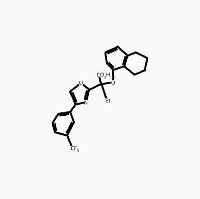 CCC(Oc1cccc2c1CCCC2)(C(=O)O)c1nc(-c2cccc(C(F)(F)F)c2)co1